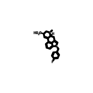 CN1C[C@H](C(=O)O)C=C2c3cccc4c3c(cn4Cc3ccc(F)cc3)C[C@H]21